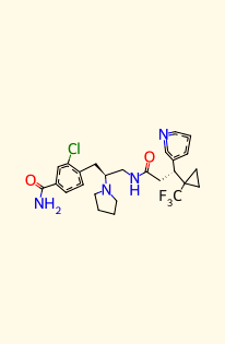 NC(=O)c1ccc(C[C@@H](CNC(=O)C[C@H](c2cccnc2)C2(C(F)(F)F)CC2)N2CCCC2)c(Cl)c1